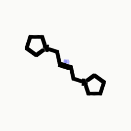 C(=C\CN1CCCC1)/CN1CCCC1